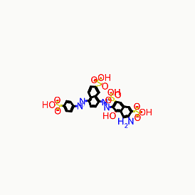 Nc1cc2c(O)c(/N=N/c3ccc(/N=N/c4ccc(S(=O)(=O)O)cc4)c4ccc(S(=O)(=O)O)cc34)c(S(=O)(=O)O)cc2cc1S(=O)(=O)O